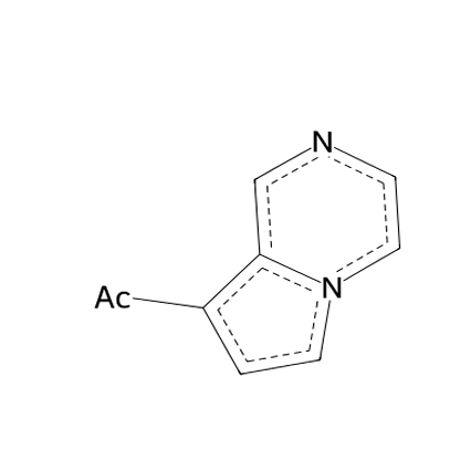 CC(=O)c1ccn2ccncc12